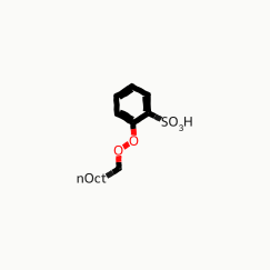 CCCCCCCCCOOc1ccccc1S(=O)(=O)O